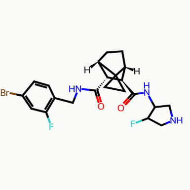 O=C(NC1CNCC1F)[C@H]1[C@H](C(=O)NCc2ccc(Br)cc2F)[C@@H]2CC[C@H]1C21CC1